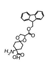 NC1(C(=O)O)CCC2(CC1)OCC(C(=O)OCC1c3ccccc3-c3ccccc31)O2